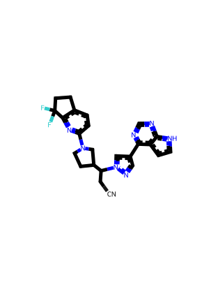 N#CCC(C1CCN(c2ccc3c(n2)C(F)(F)CC3)C1)n1cc(-c2ncnc3[nH]ccc23)cn1